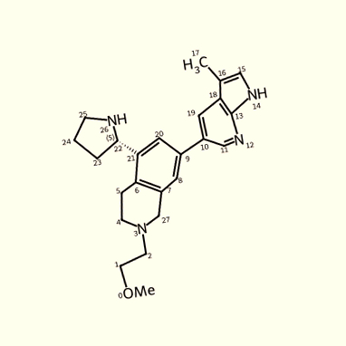 COCCN1CCc2c(cc(-c3cnc4[nH]cc(C)c4c3)cc2[C@@H]2CCCN2)C1